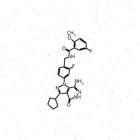 COc1ccc(F)cc1C(=O)NCc1ccc(-n2nc(C3CCCC3)c3c(=O)[nH]nc(N)c32)cc1F